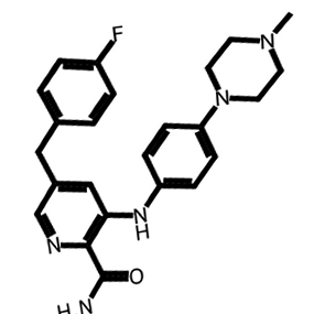 CN1CCN(c2ccc(Nc3cc(Cc4ccc(F)cc4)cnc3C(N)=O)cc2)CC1